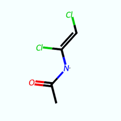 CC(=O)[N]C(Cl)=CCl